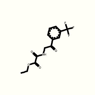 CCOC(=O)C(=O)NCC(=O)c1cccc(C(F)(F)F)c1